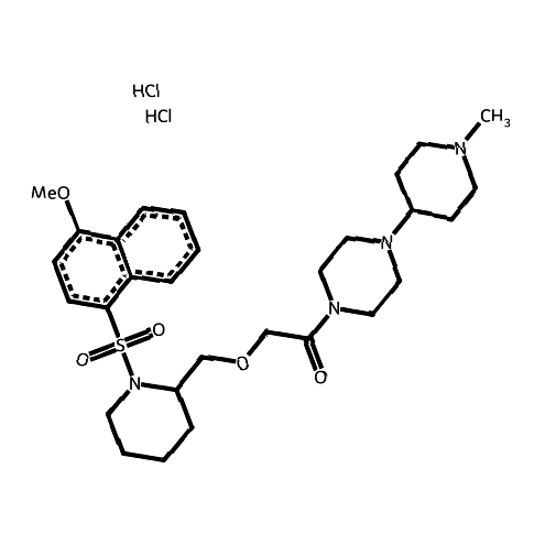 COc1ccc(S(=O)(=O)N2CCCCC2COCC(=O)N2CCN(C3CCN(C)CC3)CC2)c2ccccc12.Cl.Cl